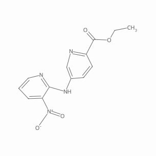 CCOC(=O)c1ccc(Nc2ncccc2[N+](=O)[O-])cn1